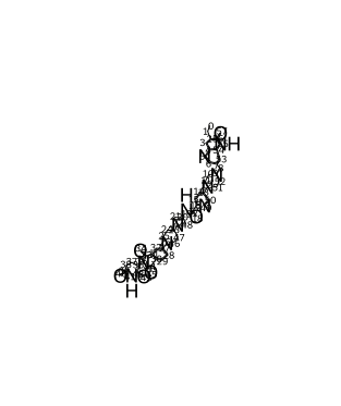 CCc1cc2ncc(CN3CCN(c4ccc(C(=O)NC5CN(C6CCN(c7ccc8c(c7)C(=O)N(C7CCC(=O)NC7=O)C8=O)CC6)C5)nc4)CC3)cc2[nH]c1=O